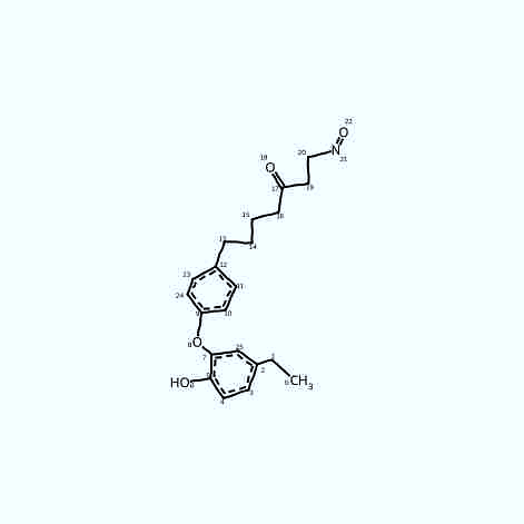 CCc1ccc(O)c(Oc2ccc(CCCCC(=O)CCN=O)cc2)c1